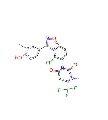 Cc1cc(-c2noc3ccc(-n4c(=O)cc(C(F)(F)F)n(C)c4=O)c(Cl)c23)ccc1O